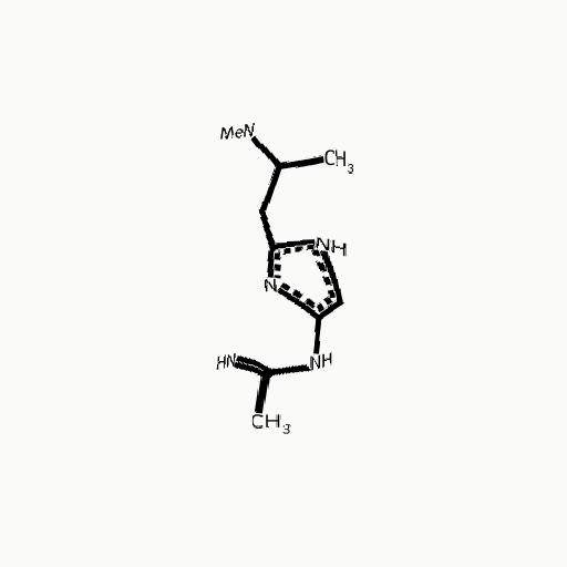 CNC(C)Cc1nc(NC(C)=N)c[nH]1